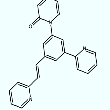 O=c1ccccn1-c1cc(/C=C/c2ccccn2)cc(-c2ccccn2)c1